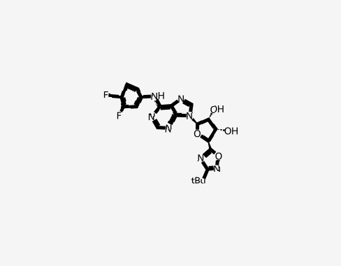 CC(C)(C)c1noc([C@H]2O[C@@H](n3cnc4c(Nc5ccc(F)c(F)c5)ncnc43)[C@H](O)[C@@H]2O)n1